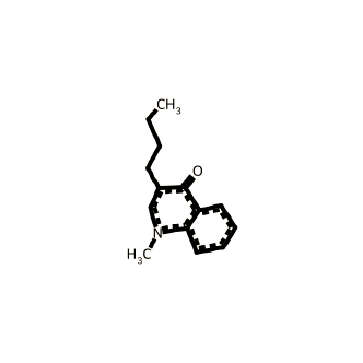 CCCCc1cn(C)c2ccccc2c1=O